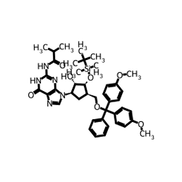 COc1ccc(C(OC[C@H]2C[C@@H](n3cnc4c(=O)[nH]c(NC(=O)C(C)C)nc43)[C@H](O)[C@@H]2O[Si](C)(C)C(C)(C)C)(c2ccccc2)c2ccc(OC)cc2)cc1